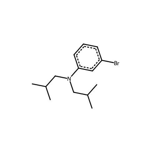 CC(C)CN(CC(C)C)c1cccc(Br)c1